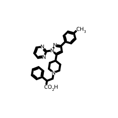 Cc1ccc(-c2cc(C3CCN(CC(C(=O)O)c4ccccc4)CC3)n(-c3ncccn3)n2)cc1